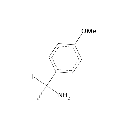 COc1ccc([C@@](C)(N)I)cc1